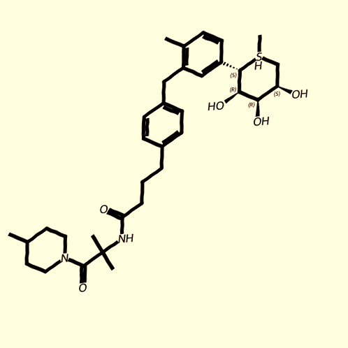 Cc1ccc([C@H]2[C@H](O)[C@H](O)[C@H](O)C[SH]2C)cc1Cc1ccc(CCCC(=O)NC(C)(C)C(=O)N2CCC(C)CC2)cc1